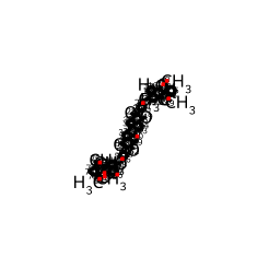 CC(C)c1cccc(C(C)C)c1N1C(=O)c2cccc3c(Oc4ccc(N5C(=O)c6ccc7c8ccc9c%10c(ccc(c%11ccc(c6c7%11)C5=O)c%108)C(=O)N(c5ccc(Oc6ccc7c8c(cccc68)C(=O)N(c6c(C(C)C)cccc6C(C)C)C7=O)cc5)C9=O)cc4)ccc(c23)C1=O